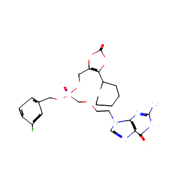 Nc1nc2c(ncn2CCOCP(=O)(OCc2cccc(F)c2)OCc2oc(=O)oc2C2CCCCC2)c(=O)[nH]1